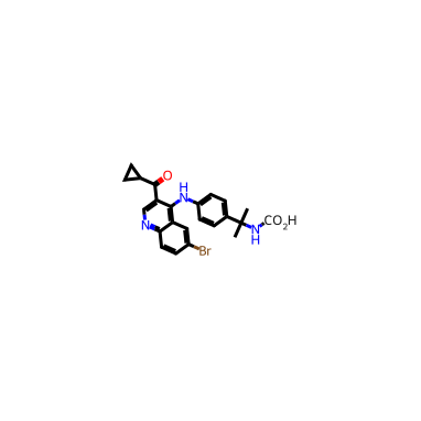 CC(C)(NC(=O)O)c1ccc(Nc2c(C(=O)C3CC3)cnc3ccc(Br)cc23)cc1